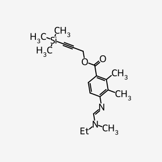 CCN(C)/C=N/c1ccc(C(=O)OCC#C[Si](C)(C)C)c(C)c1C